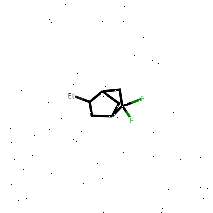 CCC1CC2CC1CC2(F)F